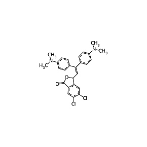 CN(C)c1ccc(C(=CC2OC(=O)c3cc(Cl)c(Cl)cc32)c2ccc(N(C)C)cc2)cc1